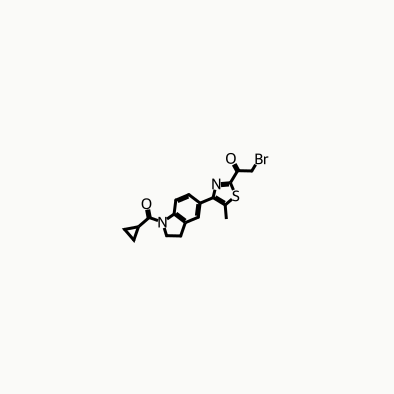 Cc1sc(C(=O)CBr)nc1-c1ccc2c(c1)CCN2C(=O)C1CC1